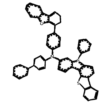 C1=CC2Sc3c(ccc4c3c3ccc(N(C5=CCC(c6ccccc6)C=C5)c5ccc(C6=c7oc8ccccc8c7=CCC6)cc5)cc3n4-c3ccccc3)C2C=C1